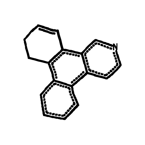 C1=Cc2c(c3ccccc3c3ccncc23)CC1